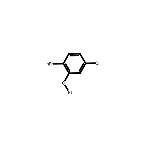 CCCc1ccc(O)cc1OCC